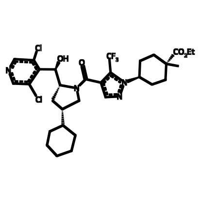 CCOC(=O)[C@]1(C)CC[C@@H](n2ncc(C(=O)N3C[C@H](C4CCCCC4)C[C@@H]3[C@H](O)c3c(Cl)cncc3Cl)c2C(F)(F)F)CC1